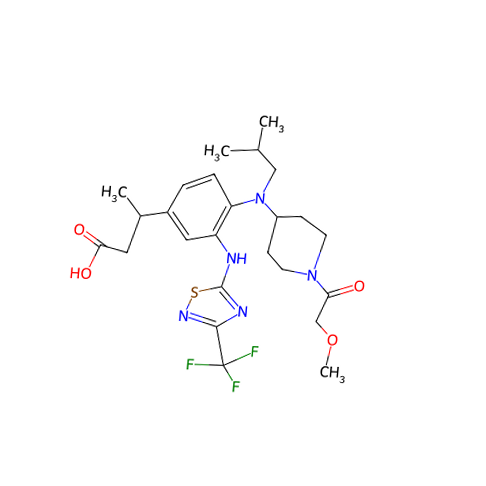 COCC(=O)N1CCC(N(CC(C)C)c2ccc(C(C)CC(=O)O)cc2Nc2nc(C(F)(F)F)ns2)CC1